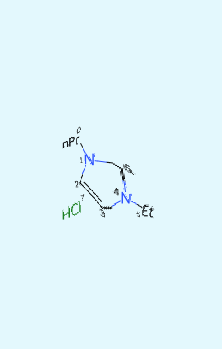 CCCN1C=CN(CC)C1.Cl